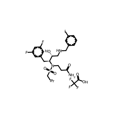 CC(C)CS(=O)(=O)N(CCC(N)=O)[C@@H](Cc1cc(F)cc(F)c1)[C@H](O)CNCc1cccc(I)c1.O=C(O)C(F)(F)F